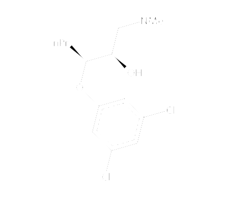 CCC[C@H](Oc1cc(Cl)cc(Cl)c1)[C@H](O)CNC